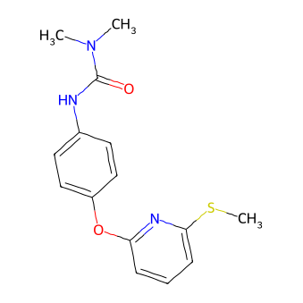 CSc1cccc(Oc2ccc(NC(=O)N(C)C)cc2)n1